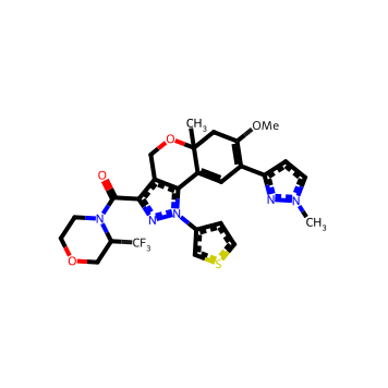 COC1=C(c2ccn(C)n2)C=C2c3c(c(C(=O)N4CCOCC4C(F)(F)F)nn3-c3ccsc3)COC2(C)C1